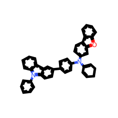 C1=CC(N(c2ccc(-c3ccc4c(c3)c3ccccc3n4-c3ccccc3)cc2)c2ccc3c(c2)oc2ccccc23)=CCC1